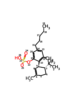 C=C(C)[C@@H]1CCC(C)=C[C@H]1c1c(C)cc(CCCCC)cc1OS(=O)(=O)O